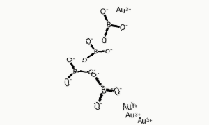 [Au+3].[Au+3].[Au+3].[Au+3].[O-]B([O-])[O-].[O-]B([O-])[O-].[O-]B([O-])[O-].[O-]B([O-])[O-]